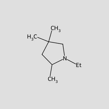 CCN1CC(C)(C)CC1C